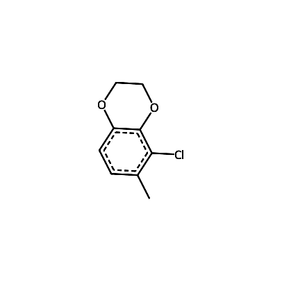 Cc1ccc2c(c1Cl)OCCO2